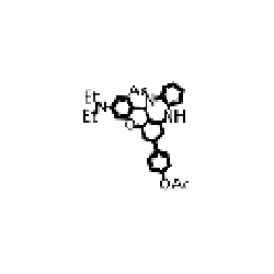 CCN(CC)c1ccc(C2C3=C(CC(c4ccc(OC(C)=O)cc4)CC3=O)Nc3ccccc3N2C(C)=O)cc1